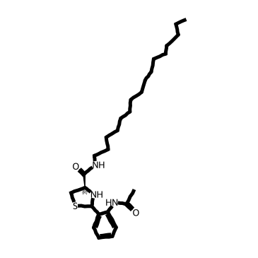 CCCCCCCCCCCCCCCCNC(=O)[C@@H]1CSC(c2ccccc2NC(C)=O)N1